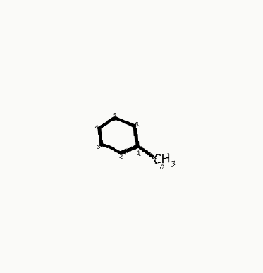 CC1[CH]CC[CH]C1